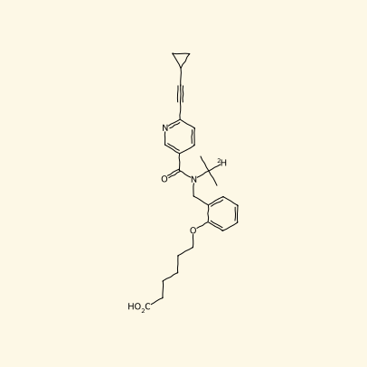 [2H]C(C)(C)N(Cc1ccccc1OCCCCCC(=O)O)C(=O)c1ccc(C#CC2CC2)nc1